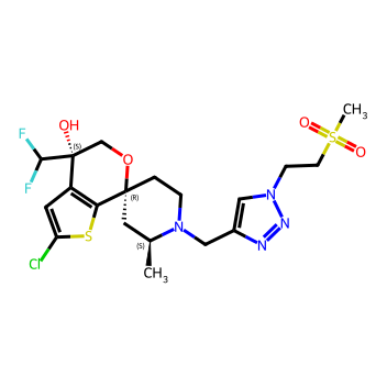 C[C@H]1C[C@@]2(CCN1Cc1cn(CCS(C)(=O)=O)nn1)OC[C@](O)(C(F)F)c1cc(Cl)sc12